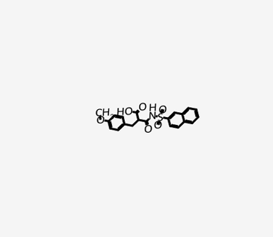 COc1ccc(CC(C(=O)O)C(=O)NS(=O)(=O)c2ccc3ccccc3c2)cc1